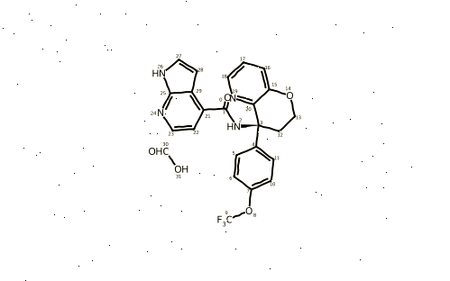 O=C(N[C@]1(c2ccc(OC(F)(F)F)cc2)CCOc2cccnc21)c1ccnc2[nH]ccc12.O=CO